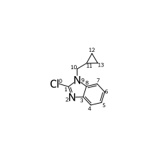 Clc1nc2ccccc2n1CC1CC1